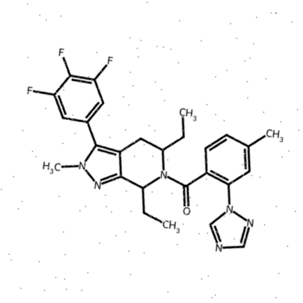 CCC1Cc2c(nn(C)c2-c2cc(F)c(F)c(F)c2)C(CC)N1C(=O)c1ccc(C)cc1-n1cncn1